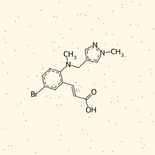 CN(Cc1cnn(C)c1)c1ccc(Br)cc1/C=C/C(=O)O